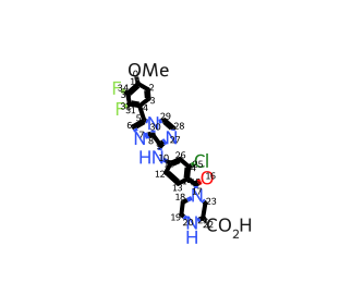 COc1ccc(-c2cnc3c(Nc4ccc(C(=O)N5CCNC(C(=O)O)C5)c(Cl)c4)nccn23)c(F)c1F